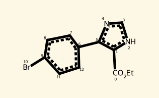 CCOC(=O)c1[nH]cnc1-c1ccc(Br)cc1